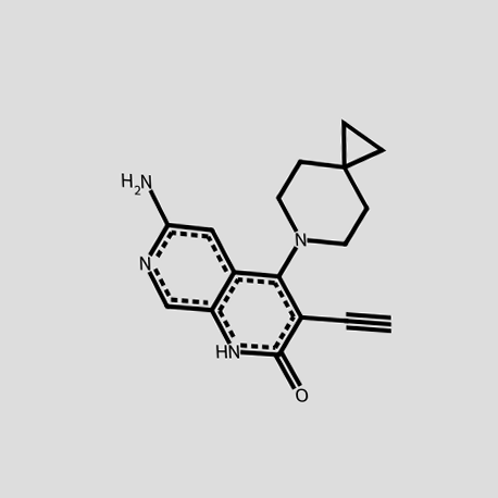 C#Cc1c(N2CCC3(CC2)CC3)c2cc(N)ncc2[nH]c1=O